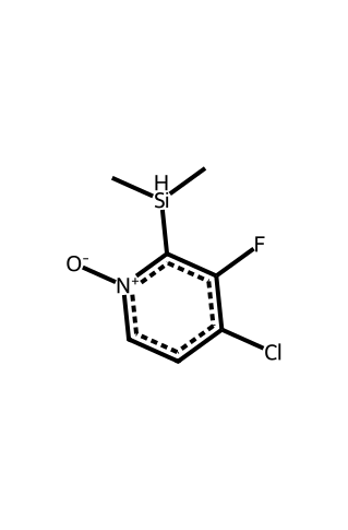 C[SiH](C)c1c(F)c(Cl)cc[n+]1[O-]